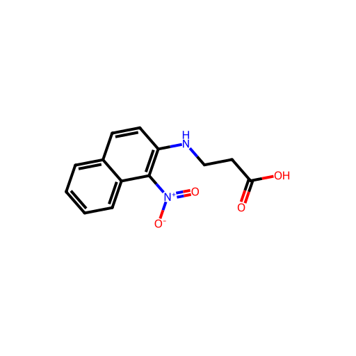 O=C(O)CCNc1ccc2ccccc2c1[N+](=O)[O-]